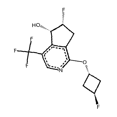 O[C@H]1c2c(C(F)(F)F)cnc(O[C@H]3C[C@H](F)C3)c2C[C@H]1F